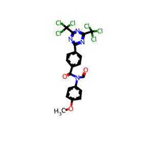 COc1ccc(N(C=O)C(=O)c2ccc(-c3nc(C(Cl)(Cl)Cl)nc(C(Cl)(Cl)Cl)n3)cc2)cc1